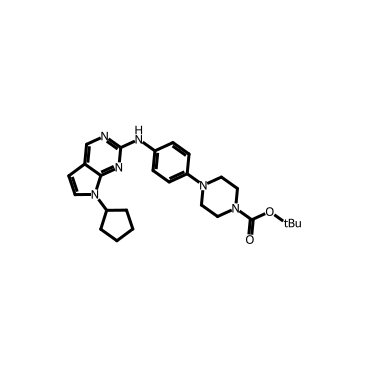 CC(C)(C)OC(=O)N1CCN(c2ccc(Nc3ncc4ccn(C5CCCC5)c4n3)cc2)CC1